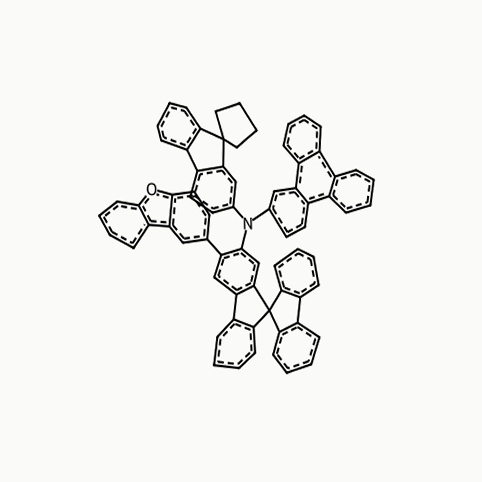 c1ccc2c(c1)-c1ccc(N(c3ccc4c5ccccc5c5ccccc5c4c3)c3cc4c(cc3-c3ccc5oc6ccccc6c5c3)-c3ccccc3C43c4ccccc4-c4ccccc43)cc1C21CCCC1